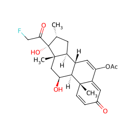 CC(=O)OC1=C[C@@H]2[C@H]([C@@H](O)C[C@@]3(C)[C@H]2C[C@@H](C)[C@]3(O)C(=O)CF)[C@@]2(C)C=CC(=O)C=C12